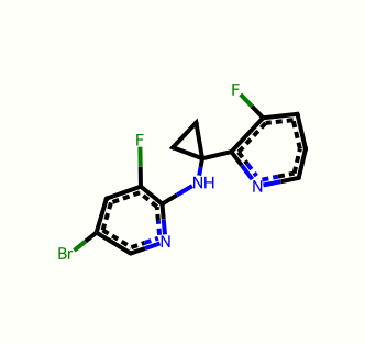 Fc1cc(Br)cnc1NC1(c2ncccc2F)CC1